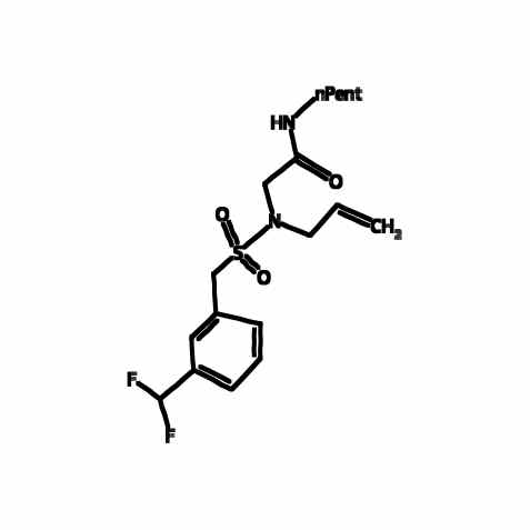 C=CCN(CC(=O)NCCCCC)S(=O)(=O)Cc1cccc(C(F)F)c1